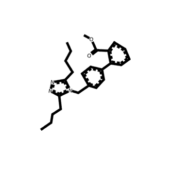 CCCCc1nnc(CCCC)n1Cc1ccc(-c2ccccc2C(=O)OC)cc1